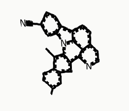 Cc1ccc2c(C)c3c(cc2c1)c1nccc2ccc4c5ccc(C#N)cc5n3c4c21